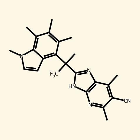 Cc1nc2[nH]c(C(C)(c3c(C)c(C)c(C)c4c3ccn4C)C(F)(F)F)nc2c(C)c1C#N